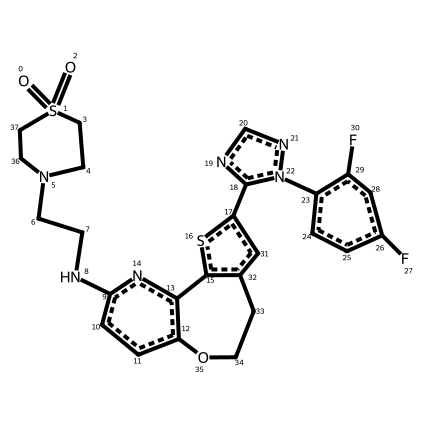 O=S1(=O)CCN(CCNc2ccc3c(n2)-c2sc(-c4ncnn4-c4ccc(F)cc4F)cc2CCO3)CC1